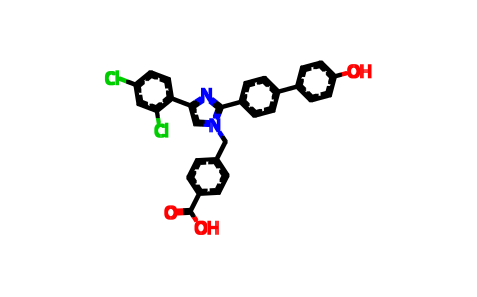 O=C(O)c1ccc(Cn2cc(-c3ccc(Cl)cc3Cl)nc2-c2ccc(-c3ccc(O)cc3)cc2)cc1